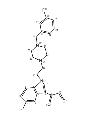 Cc1ccc2c(c1)c(C(=O)C=O)cn2CCN1CCN(Cc2cccc(F)c2)CC1